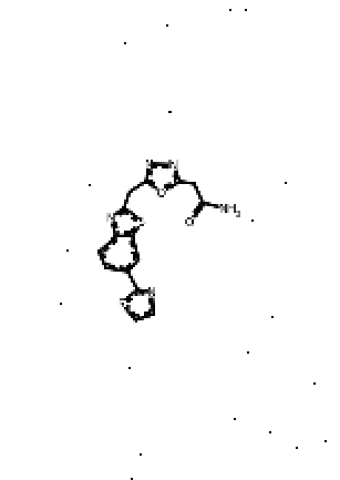 NC(=O)Cc1nnc(Cc2nc3ccc(-c4nccs4)cc3s2)o1